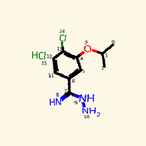 CC(C)Oc1cc(C(=N)NN)ccc1Cl.Cl